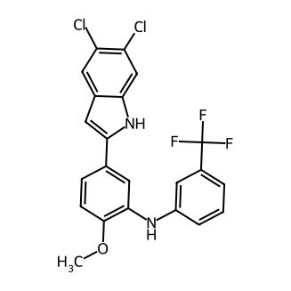 COc1ccc(-c2cc3cc(Cl)c(Cl)cc3[nH]2)cc1Nc1cccc(C(F)(F)F)c1